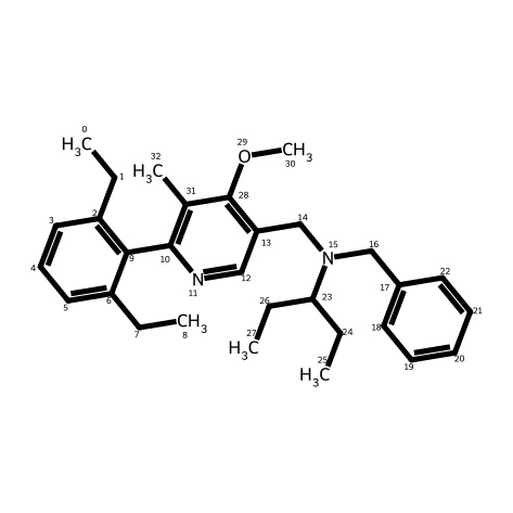 CCc1cccc(CC)c1-c1ncc(CN(Cc2ccccc2)C(CC)CC)c(OC)c1C